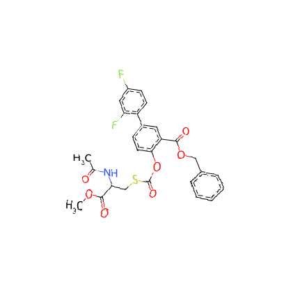 COC(=O)C(CSC(=O)Oc1ccc(-c2ccc(F)cc2F)cc1C(=O)OCc1ccccc1)NC(C)=O